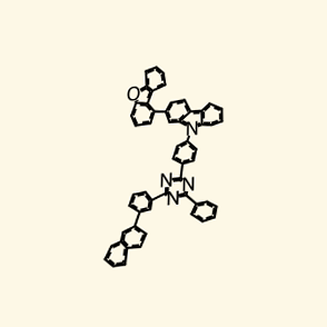 c1ccc(-c2nc(-c3ccc(-n4c5ccccc5c5ccc(-c6cccc7oc8ccccc8c67)cc54)cc3)nc(-c3cccc(-c4ccc5ccccc5c4)c3)n2)cc1